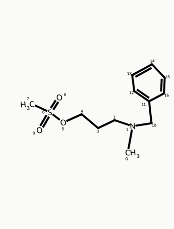 CN(CCCOS(C)(=O)=O)Cc1ccccc1